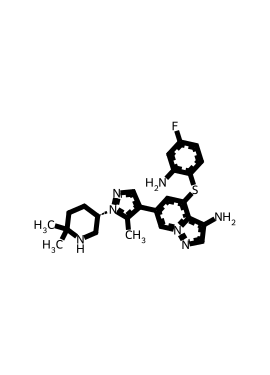 Cc1c(-c2cc(Sc3ccc(F)cc3N)c3c(N)cnn3c2)cnn1[C@H]1CCC(C)(C)NC1